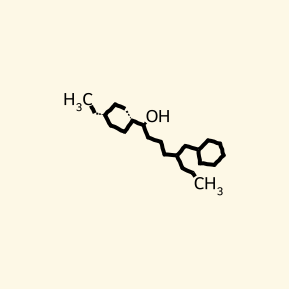 CCCC(CCC[C@H](O)[C@H]1CC[C@@H](CC)CC1)CC1CCCCC1